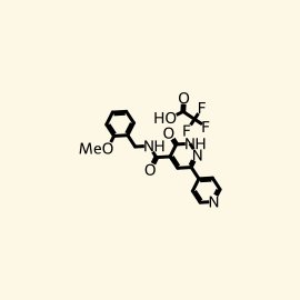 COc1ccccc1CNC(=O)c1cc(-c2ccncc2)n[nH]c1=O.O=C(O)C(F)(F)F